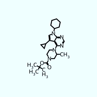 CC1CN(C(=O)OC(C)(C)C)CCN1c1ncnc2c1c(C1CC1)cn2C1CCCCC1